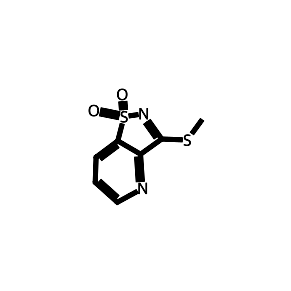 CSC1=NS(=O)(=O)c2cccnc21